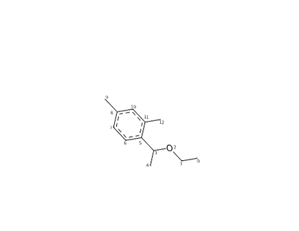 CCOC(C)c1ccc(C)cc1C